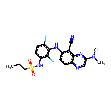 CCCS(=O)(=O)Nc1ccc(F)c(Nc2ccc3ncc(N(C)C)nc3c2C#N)c1F